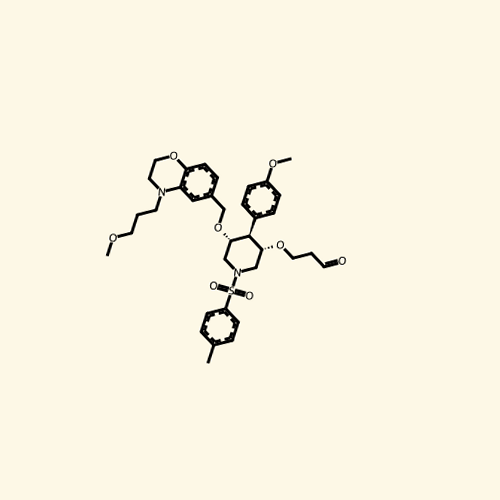 COCCCN1CCOc2ccc(CO[C@H]3CN(S(=O)(=O)c4ccc(C)cc4)C[C@@H](OCCC=O)[C@@H]3c3ccc(OC)cc3)cc21